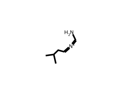 CC(C)CC=[N+]=CN